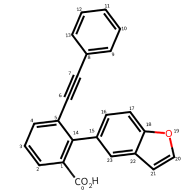 O=C(O)c1cccc(C#Cc2ccccc2)c1-c1ccc2occc2c1